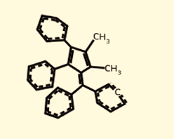 CC1=C(C)C(c2ccccc2)=C(c2ccccc2)C1=C(c1ccccc1)c1ccccc1